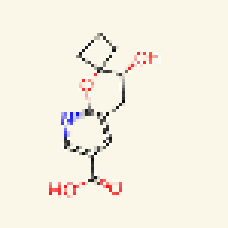 O=C(O)c1cnc2c(c1)C[C@H](O)C1(CCC1)O2